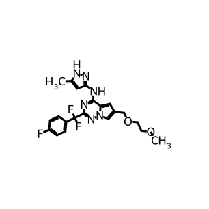 COCCOCc1cc2c(Nc3cc(C)[nH]n3)nc(C(F)(F)c3ccc(F)cc3)nn2c1